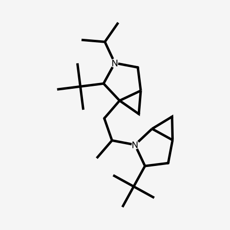 CC(C)N1CC2CC2(CC(C)N2C3CC3CC2C(C)(C)C)C1C(C)(C)C